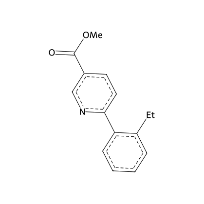 CCc1ccccc1-c1ccc(C(=O)OC)cn1